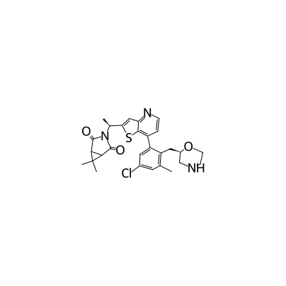 Cc1cc(Cl)cc(-c2ccnc3cc([C@H](C)N4C(=O)C5C(C4=O)C5(C)C)sc23)c1C[C@@H]1CNCCO1